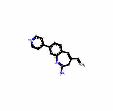 C=CC1=Cc2ccc(-c3ccncc3)cc2N=C(N)C1